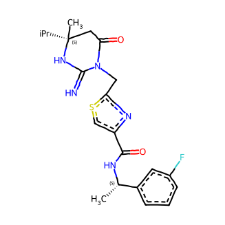 CC(C)[C@]1(C)CC(=O)N(Cc2nc(C(=O)N[C@@H](C)c3cccc(F)c3)cs2)C(=N)N1